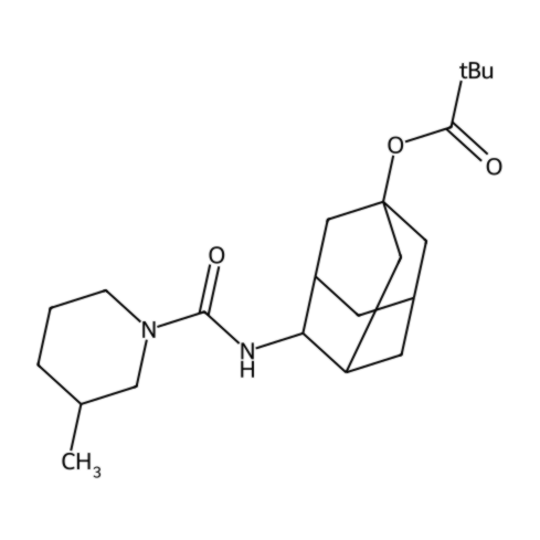 CC1CCCN(C(=O)NC2C3CC4CC2CC(OC(=O)C(C)(C)C)(C4)C3)C1